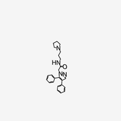 O=C(Cn1ncc(-c2ccccc2)c1-c1ccccc1)NCCCN1CCCC1